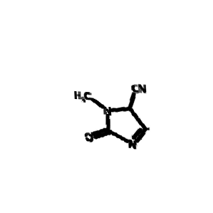 CN1C(=O)N=[C]C1C#N